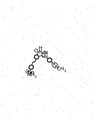 CN1CCN(c2ccc(NC=C3C(=O)NC(=O)c4ccc(C=Cc5ccc(S(N)(=O)=O)cc5)cc43)cc2)CC1